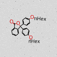 CCCCCCOc1ccc(C2(c3ccc(OCCCCCC)cc3)OC(=O)c3ccccc32)cc1